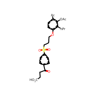 CCCc1c(OCCCS(=O)(=O)c2ccc(C(=O)CCC(=O)O)cc2)ccc(C(C)=O)c1OC(C)=O